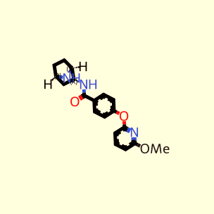 COc1cccc(Oc2ccc(C(=O)N[C@@H]3C[C@H]4CC[C@@H]3N4)cc2)n1